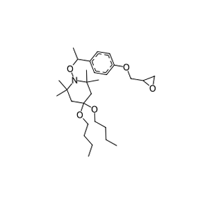 CCCCOC1(OCCCC)CC(C)(C)N(OC(C)c2ccc(OCC3CO3)cc2)C(C)(C)C1